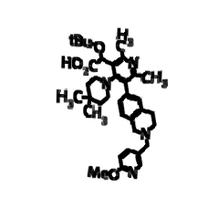 COc1ccc(CN2CCc3cc(-c4c(C)nc(C)c(C(OC(C)(C)C)C(=O)O)c4N4CCC(C)(C)CC4)ccc3C2)cn1